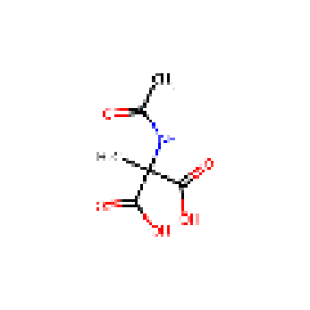 CC(=O)NC(C)(C(=O)O)C(=O)O